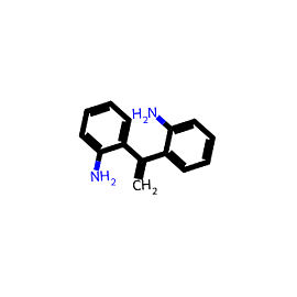 C=C(c1ccccc1N)c1ccccc1N